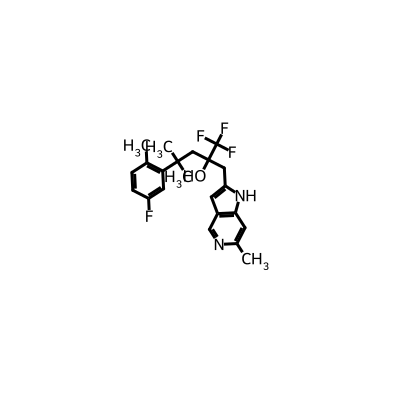 Cc1cc2[nH]c(CC(O)(CC(C)(C)c3cc(F)ccc3C)C(F)(F)F)cc2cn1